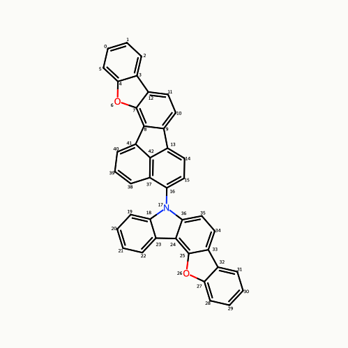 c1ccc2c(c1)oc1c3c(ccc12)-c1ccc(-n2c4ccccc4c4c5oc6ccccc6c5ccc42)c2cccc-3c12